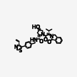 C=Cc1ncsc1-c1ccc(CNC(=O)[C@@H]2C[C@@H](O)CN2C(=O)[C@H](C(C)C)N2Cc3ccccc3C2=O)cc1